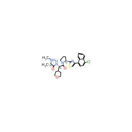 CN[C@@H](C)C(=O)N[C@H](C(=O)N1CCC[C@H]1c1nc(-c2ccc(Cl)c3ccccc23)cs1)C1CCOCC1